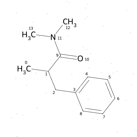 CC(Cc1ccccc1)C(=O)N(C)C